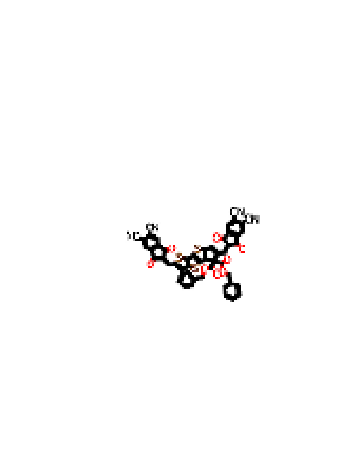 N#Cc1cc2c(cc1C#N)C(=O)C(=CC1=Cc3sc4c(sc5cc(C=C6C(=O)c7cc(C#N)c(C#N)cc7C6=O)sc54)c3C1(C(=O)OCc1ccccc1)C(=O)OCc1ccccc1)C2=O